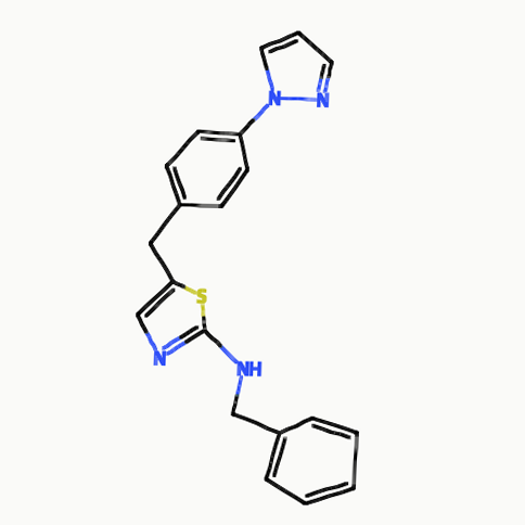 c1ccc(CNc2ncc(Cc3ccc(-n4cccn4)cc3)s2)cc1